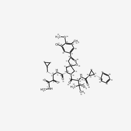 CNC(=O)C(=O)[C@H](CC1CC1)NC(=O)[C@@H]1C[C@]2(CC(c3cc(C)c(OC)c(Cl)c3)=NO2)CN1C(=O)[C@@H](NC(=O)[C@H]1C[C@@H]1c1ccccc1)C(C)(C)C